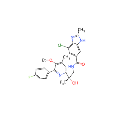 CCOc1c(C)cc([C@@](O)(CNC(=O)c2cc(Cl)c3nc(C)[nH]c3c2)C(F)(F)F)nc1-c1ccc(F)cc1